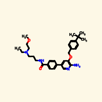 CCN(CCCNC(=O)c1ccc(-c2cnc(N)c(OCc3ccc(C(C)(C)C)cc3)c2)cc1)CCOC